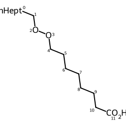 CCCCCCCCOOCCCCCCCC(=O)O